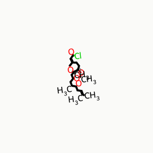 CC(=O)O[C@@H]1CCC(=CC(=O)Cl)CO[C@@]1(C)CCCC(C)C(=O)CC=C(C)C